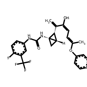 C=C(/C(O)=C\C=C(/C)Oc1ccncc1)[C@@H]1[C@@H]2C[C@@]12NC(=O)Nc1ccc(F)c(C(F)(F)F)c1